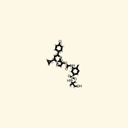 Cc1ccc(S(=O)(=O)NC(C)(C)CO)cc1NC(=O)Oc1cnn2c(C3CC3)cc(-c3ccc(Cl)cc3)nc12